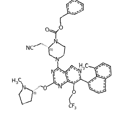 Cc1cccc2cccc(-c3ncc4c(N5CCN(C(=O)OCc6ccccc6)[C@@H](CC#N)C5)nc(OC[C@@H]5CCCN5C)nc4c3OCC(F)(F)F)c12